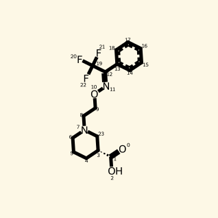 O=C(O)[C@@H]1CCCN(CCON=C(c2ccccc2)C(F)(F)F)C1